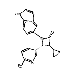 O=C1C(C2CC2)[C@H](c2ccc(Br)nc2)N1c1ccc2[nH]cnc2c1